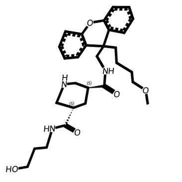 COCCCCC1(CNC(=O)[C@@H]2CNC[C@@H](C(=O)NCCCO)C2)c2ccccc2Oc2ccccc21